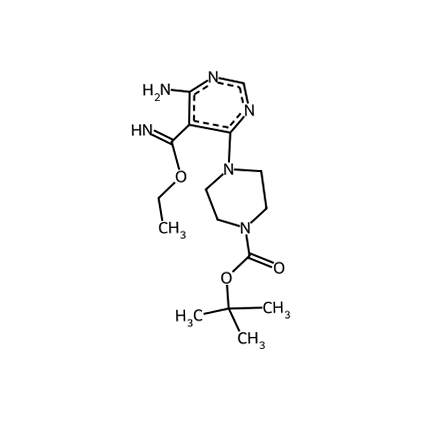 CCOC(=N)c1c(N)ncnc1N1CCN(C(=O)OC(C)(C)C)CC1